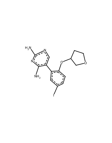 Nc1ncc(-c2cc(I)ccc2OC2CCOC2)c(N)n1